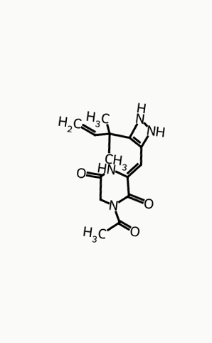 C=CC(C)(C)c1[nH][nH]c1/C=C1\NC(=O)CN(C(C)=O)C1=O